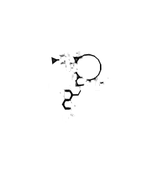 COc1ccc2nc(C)c3c(c2n1)CC[C@]1(C[C@H]2C(=O)N[C@]4(C(=O)N(C)S(=O)(=O)C5CC5)C[C@@H]4CCCCCCC[C@H](NC(=O)O)C(=O)N2C1)O3